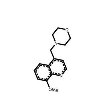 COc1cccc2c(CN3CCOCC3)ccnc12